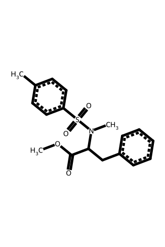 COC(=O)C(Cc1ccccc1)N(C)S(=O)(=O)c1ccc(C)cc1